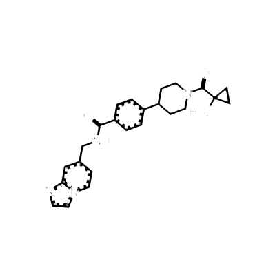 CC1(C(=O)N2CCC(c3ccc(C(=O)NCc4ccn5ccnc5c4)cc3)CC2)CC1